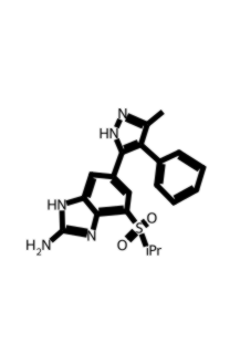 Cc1n[nH]c(-c2cc(S(=O)(=O)C(C)C)c3nc(N)[nH]c3c2)c1-c1ccccc1